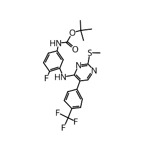 CSc1ncc(-c2ccc(C(F)(F)F)cc2)c(Nc2cc(NC(=O)OC(C)(C)C)ccc2F)n1